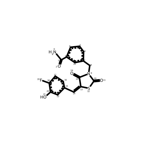 NC(=O)c1cccc(CN2C(=O)SC(=Cc3ccc(F)c(O)c3)C2=O)c1